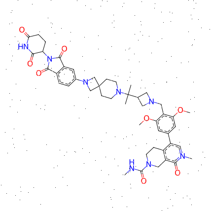 CNC(=O)N1CCc2c(-c3cc(OC)c(CN4CC(C(C)(C)N5CCC6(CC5)CN(c5ccc7c(c5)C(=O)N(C5CCC(=O)NC5=O)C7=O)C6)C4)c(OC)c3)cn(C)c(=O)c2C1